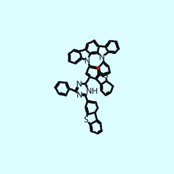 C1=CCC2Sc3cc(-n4c5ccccc5c5ccc6c7ccccc7n(-c7ccccc7)c6c54)cc(C4N=C(c5ccccc5)N=C(C5=CCC6C(=C5)Sc5ccccc56)N4)c3C2=C1